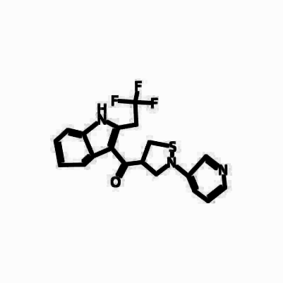 O=C(c1c(CC(F)(F)F)[nH]c2ccccc12)C1CSN(c2cccnc2)C1